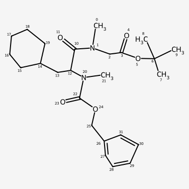 CN(CC(=O)OC(C)(C)C)C(=O)C(CC1CCCCC1)N(C)C(=O)OCc1ccccc1